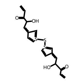 C=CC(=O)C(O)C=C1C=CS(SS2=CC(=CC(O)C(=O)C=C)C=C2)=C1